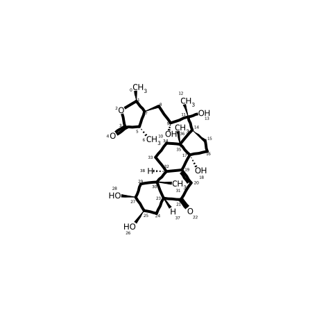 C[C@@H]1OC(=O)[C@@H](C)[C@@H]1C[C@@H](O)[C@](C)(O)[C@H]1CC[C@@]2(O)C3=CC(=O)[C@@H]4C[C@@H](O)[C@@H](O)C[C@]4(C)[C@H]3CC[C@]12C